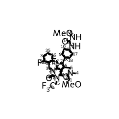 COCCN(C)Cc1c(-c2ccc(NC(=O)NOC)cc2)sc2c1c(=O)n(CC(F)(F)F)c(=O)n2Cc1c(F)cccc1F